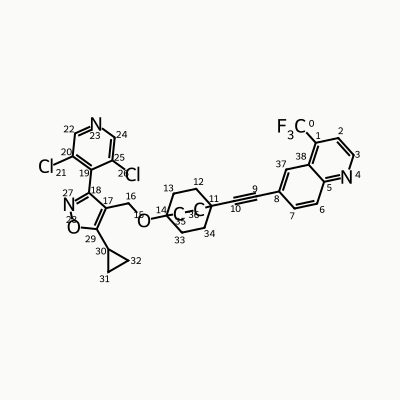 FC(F)(F)c1ccnc2ccc(C#CC34CCC(OCc5c(-c6c(Cl)cncc6Cl)noc5C5CC5)(CC3)CC4)cc12